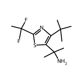 CC(C)(C)c1nc(C(C)(F)F)sc1C(C)(C)N